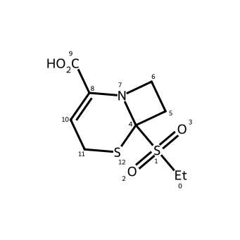 CCS(=O)(=O)C12CCN1C(C(=O)O)=CCS2